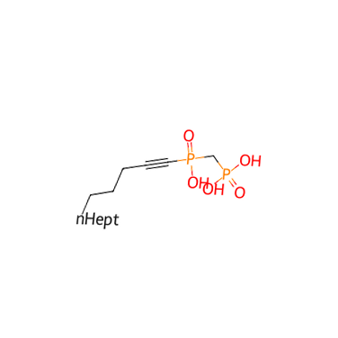 CCCCCCCCCCC#CP(=O)(O)CP(=O)(O)O